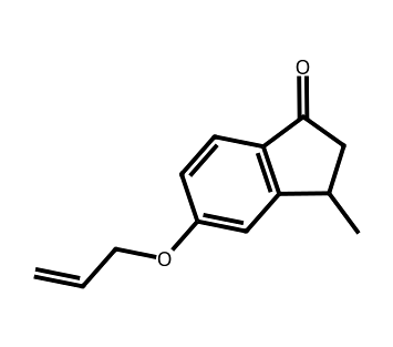 C=CCOc1ccc2c(c1)C(C)CC2=O